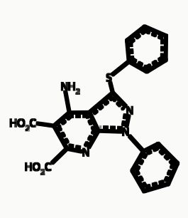 Nc1c(C(=O)O)c(C(=O)O)nc2c1c(Sc1ccccc1)nn2-c1ccccc1